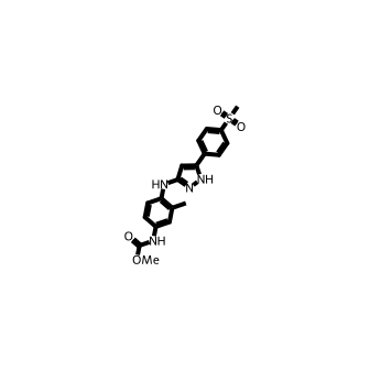 COC(=O)Nc1ccc(Nc2cc(-c3ccc(S(C)(=O)=O)cc3)[nH]n2)c(C)c1